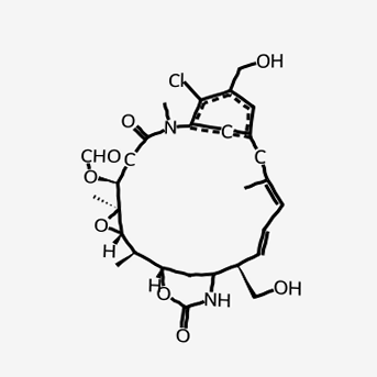 C/C1=C\C=C\[C@@H](CO)C2C[C@H](OC(=O)N2)[C@@H](C)[C@@H]2O[C@@]2(C)[C@@H](OC=O)CC(=O)N(C)c2cc(cc(CO)c2Cl)C1